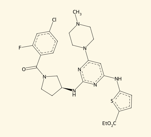 CCOC(=O)c1ccc(Nc2cc(N3CCN(C)CC3)nc(N[C@H]3CCN(C(=O)c4ccc(Cl)cc4F)C3)n2)s1